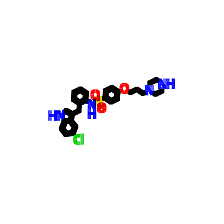 O=S(=O)(Nc1ccccc1Cc1c[nH]c2ccc(Cl)cc12)c1ccc(OCCCN2CCNCC2)cc1